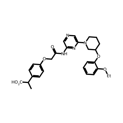 CCOc1ccccc1OC1CCCN(c2cncc(NC(=O)COc3ccc(C(C)C(=O)O)cc3)n2)C1